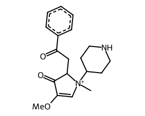 COC1=C[N+](C)(C2CCNCC2)C(CC(=O)c2ccccc2)C1=O